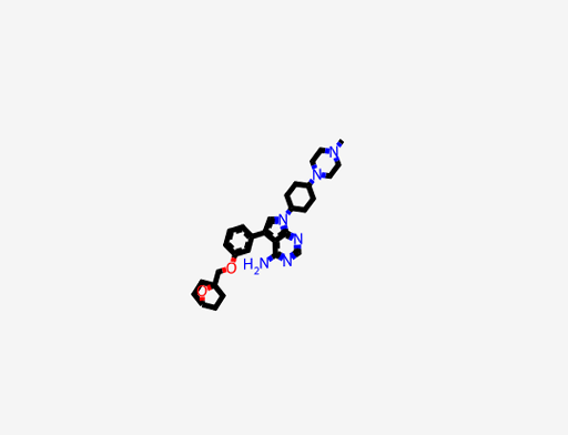 CN1CCN(C2CCC(n3cc(-c4cccc(OCC56CCC(CC5)O6)c4)c4c(N)ncnc43)CC2)CC1